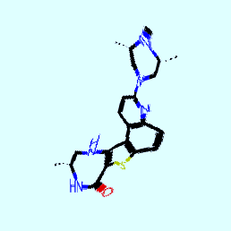 C[C@@H]1CNc2c(sc3ccc4nc(N5C[C@@H](C)N(C)[C@@H](C)C5)ccc4c23)C(=O)N1